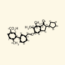 Cc1ccc(C(=O)O)cc1-c1cccc(COc2cc3c(c(C)c2C)C(=O)C(C2CCCC2)C3)c1